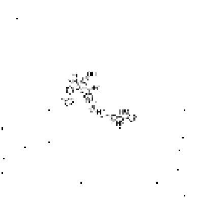 Cc1ncsc1-c1ccc(C(C)NC(=O)[C@@H]2C[C@@H](O)CN2C(=O)C(c2cc(O[C@@H]3CC[C@@H]3N3CCC(c4sc5nnc(-c6ccccc6O)cc5c4C)CC3)no2)C(C)C)cc1